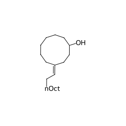 CCCCCCCCCC=C1CCCCCCC(O)CC1